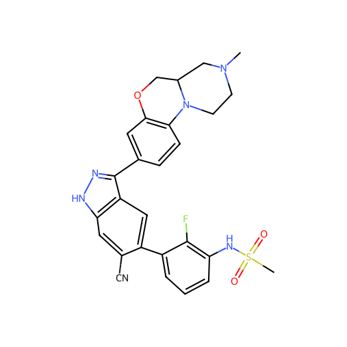 CN1CCN2c3ccc(-c4n[nH]c5cc(C#N)c(-c6cccc(NS(C)(=O)=O)c6F)cc45)cc3OCC2C1